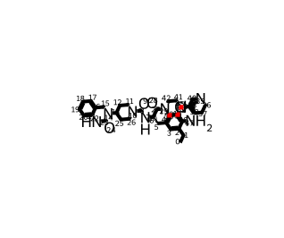 CCc1cc(C[C@@H](NC(=O)N2CCC(N3Cc4ccccc4NC3=O)CC2)C(=O)N2CCN(C3CN4CCC3CC4)CC2)cc(Cl)c1N